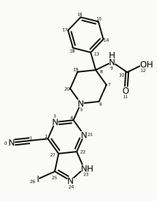 N#Cc1nc(N2CCC(NC(=O)O)(c3ccccc3)CC2)nc2[nH]nc(I)c12